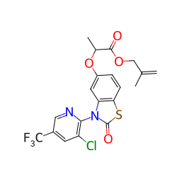 C=C(C)COC(=O)C(C)Oc1ccc2sc(=O)n(-c3ncc(C(F)(F)F)cc3Cl)c2c1